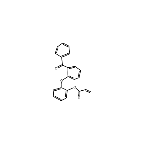 C=CC(=O)Oc1ccccc1Oc1ccccc1C(=O)c1ccccc1